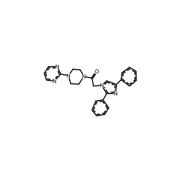 O=C(Cn1cc(-c2ccccc2)nc1-c1ccccc1)N1CCN(c2ncccn2)CC1